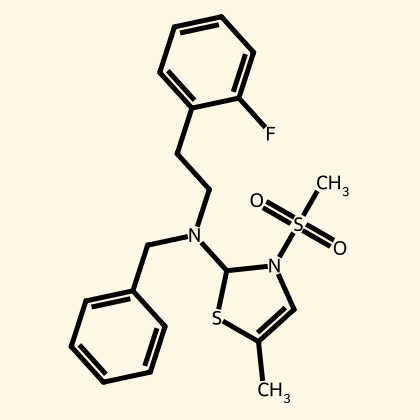 CC1=CN(S(C)(=O)=O)C(N(CCc2ccccc2F)Cc2ccccc2)S1